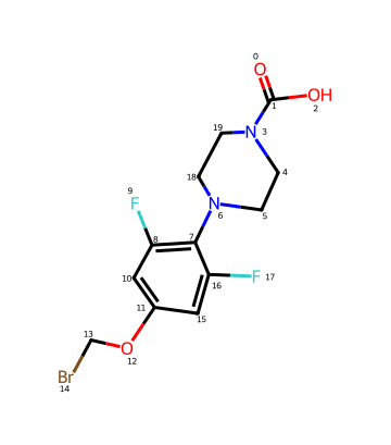 O=C(O)N1CCN(c2c(F)cc(OCBr)cc2F)CC1